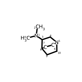 CN(C)C1CN2CCC1CC2